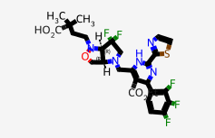 CCOC(=O)C1=C(CN2CC(F)(F)[C@H]3[C@@H]2CON3CCC(C)(C)C(=O)O)NC(c2nccs2)=NC1c1ccc(F)c(F)c1F